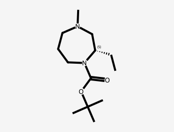 CC[C@H]1CN(C)CCCN1C(=O)OC(C)(C)C